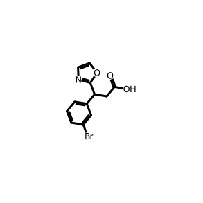 O=C(O)CC(c1cccc(Br)c1)c1ncco1